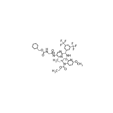 CCOC(=O)N1c2ccc(OC)nc2[C@@H](NC(c2cc(C(F)(F)F)cc(C(F)(F)F)c2)c2ncc(NC(=O)CNC(=O)OCc3ccccc3)cn2)C[C@H]1CC